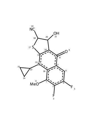 COc1c(F)c(F)cc2c(=O)c3c(n(C4CC4)c12)SC(C#N)C3O